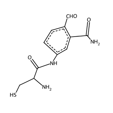 NC(=O)c1cc(NC(=O)C(N)CS)ccc1C=O